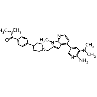 CN(C)C(=O)c1ccc(C2CCN(Cc3cc4c(-c5cnc(N)c(N(C)C)c5)ccnc4n3C)CC2)cc1